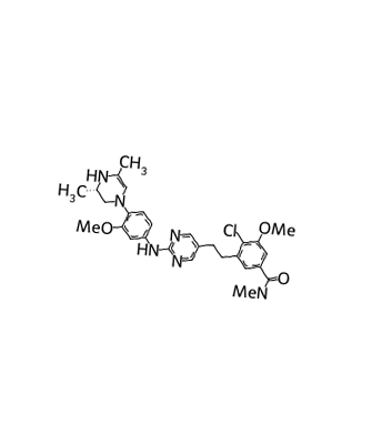 CNC(=O)c1cc(CCc2cnc(Nc3ccc(N4C=C(C)N[C@@H](C)C4)c(OC)c3)nc2)c(Cl)c(OC)c1